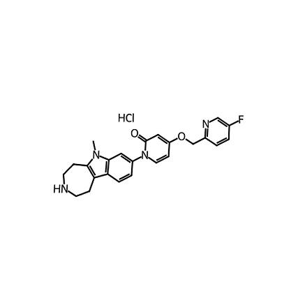 Cl.Cn1c2c(c3ccc(-n4ccc(OCc5ccc(F)cn5)cc4=O)cc31)CCNCC2